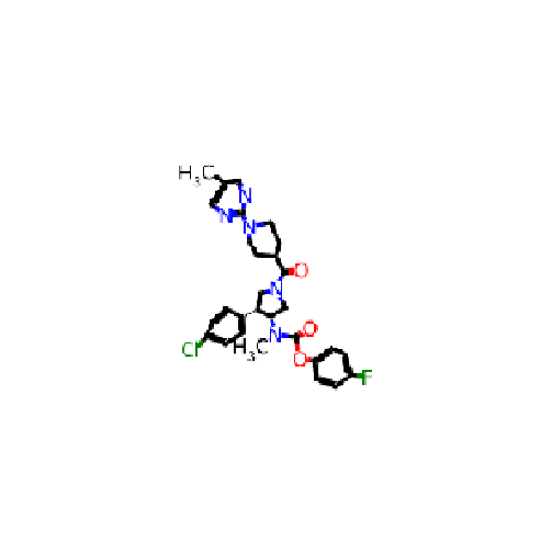 Cc1cnc(N2CCC(C(=O)N3C[C@@H](N(C)C(=O)Oc4ccc(F)cc4)[C@H](c4ccc(Cl)cc4)C3)CC2)nc1